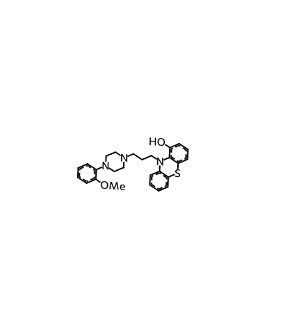 COc1ccccc1N1CCN(CCCN2c3ccccc3Sc3cccc(O)c32)CC1